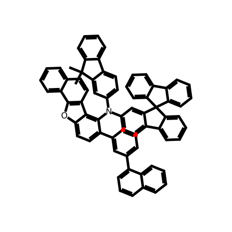 CC1(C)c2ccccc2-c2ccc(N(c3ccc4c(c3)C3(c5ccccc5-c5ccccc53)c3ccccc3-4)c3c(-c4cccc(-c5cccc6ccccc56)c4)ccc4oc5c6ccccc6ccc5c34)cc21